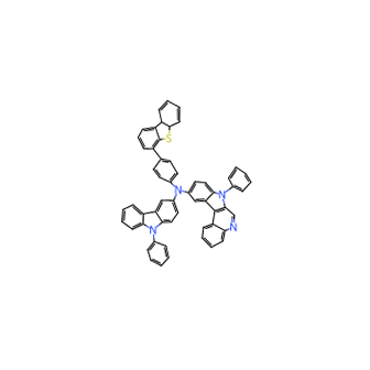 C1=CC2Sc3c(-c4ccc(N(c5ccc6c(c5)c5ccccc5n6-c5ccccc5)c5ccc6c(c5)c5c7ccccc7ncc5n6-c5ccccc5)cc4)cccc3C2C=C1